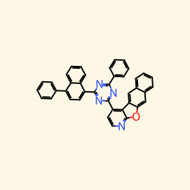 c1ccc(-c2nc(-c3ccc(-c4ccccc4)c4ccccc34)nc(-c3ccnc4oc5cc6ccccc6cc5c34)n2)cc1